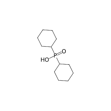 O=P(O)(C1CCCCC1)C1CCCCC1